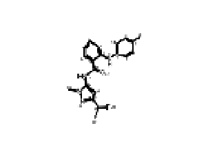 Cc1ccc(Nc2ccccc2C(=O)Nc2cc(C(F)F)nn2C)cc1